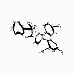 C[C@](O)(C(=O)N1CCN(c2ccc(Cl)cc2Cl)[C@H](c2ccc(Cl)cc2)C1)c1ccccc1